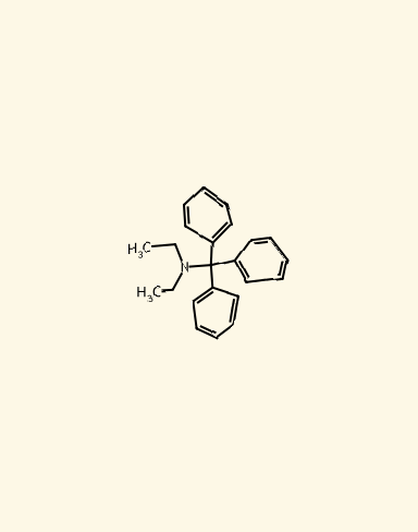 CCN(CC)C(c1ccccc1)(c1ccccc1)c1ccccc1